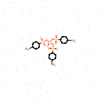 Cc1ccc(S(=O)(=O)OP(=O)(OS(=O)(=O)c2ccc(C)cc2)OS(=O)(=O)c2ccc(C)cc2)cc1